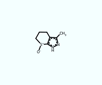 Cc1n[nH]c2c1CCC[S+]2[O-]